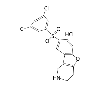 Cl.O=S(=O)(c1cc(Cl)cc(Cl)c1)c1ccc2oc3c(c2c1)CNCC3